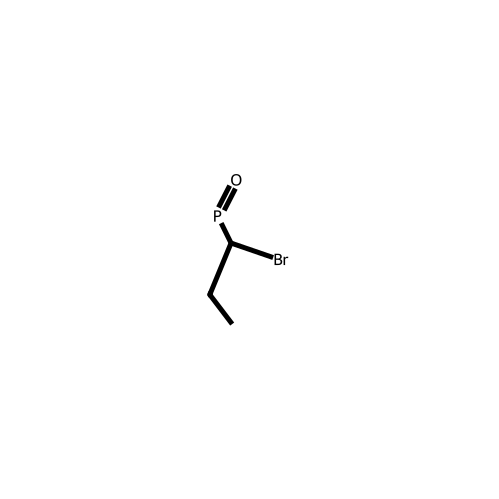 CCC(Br)P=O